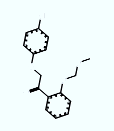 COCOc1ccccc1C(=O)COc1ccc(Cl)cc1